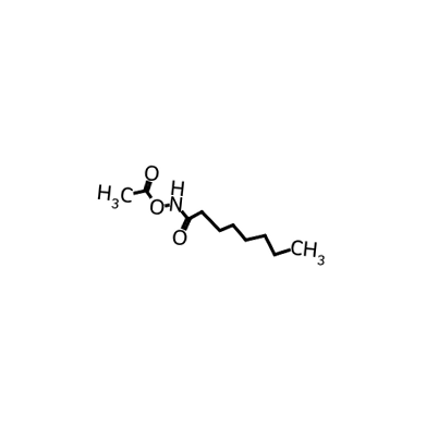 CCCCCCCC(=O)NOC(C)=O